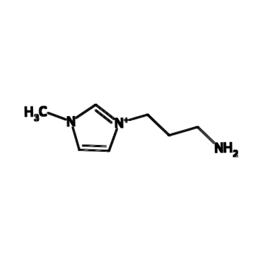 Cn1cc[n+](CCCN)c1